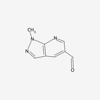 Cn1ncc2cc(C=O)cnc21